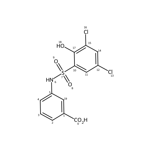 O=C(O)c1cccc(NS(=O)(=O)c2cc(Cl)cc(Cl)c2O)c1